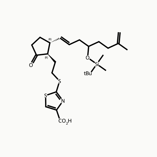 C=C(C)CCC(CC=C[C@H]1CCC(=O)[C@@H]1CCSc1nc(C(=O)O)cs1)O[Si](C)(C)C(C)(C)C